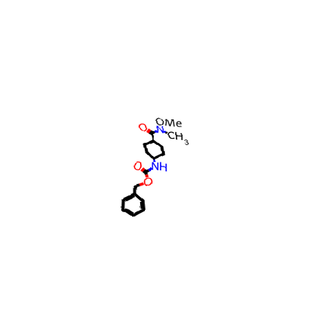 CON(C)C(=O)[C@H]1CC[C@@H](NC(=O)OCc2ccccc2)CC1